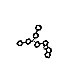 c1ccc(-c2ccc(N(c3ccc(-c4ccccc4)cc3)c3cccc(-c4cccc5c4sc4c6ccccc6ccc54)c3)cc2)cc1